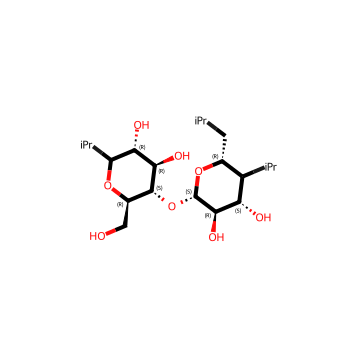 CC(C)C[C@H]1O[C@@H](O[C@H]2[C@H](O)[C@@H](O)C(C(C)C)O[C@@H]2CO)[C@H](O)[C@@H](O)C1C(C)C